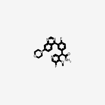 COc1c(F)cncc1C(C(N)=O)c1ccc(F)c(-c2ncnc3cc(N4CCOCC4)ccc23)c1